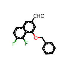 O=Cc1cc(OCc2ccccc2)c2c(F)c(F)ccc2c1